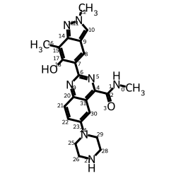 CNC(=O)c1nc(-c2cc3cn(C)nc3c(C)c2O)nc2ccc(N3CCNCC3)cc12